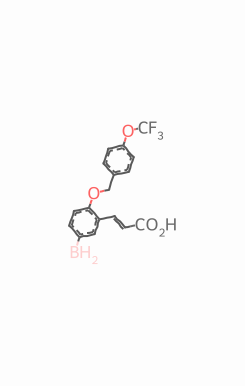 Bc1ccc(OCc2ccc(OC(F)(F)F)cc2)c(/C=C/C(=O)O)c1